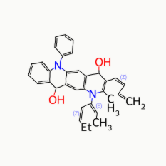 C=C/C=C\C1=C(C)N(C(/C=C\CC)=C/C)c2cc3c(cc2C1O)N(c1ccccc1)c1ccccc1C3O